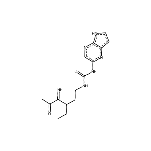 CCC(CCNC(=O)Nc1cnc2[nH]ccc2n1)C(=N)C(C)=O